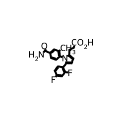 Cc1cc(C(N)=O)ccc1-n1c(CCC(=O)O)ccc1-c1ccc(F)cc1F